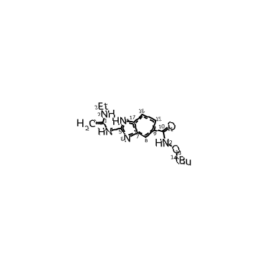 C=C(NCC)Nc1nc2cc(C(=O)NOC(C)(C)C)ccc2[nH]1